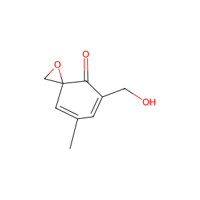 CC1=CC2(CO2)C(=O)C(CO)=C1